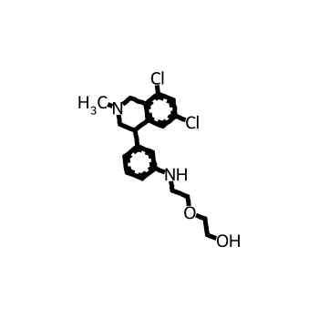 CN1Cc2c(Cl)cc(Cl)cc2C(c2cccc(NCCOCCO)c2)C1